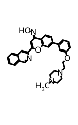 CN1CCN(CCOc2cccc(-c3ccc4/c(=N/O)cc(-c5cc6ccccc6cn5)oc4c3)c2)CC1